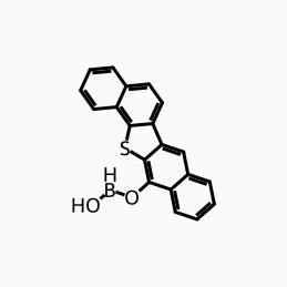 OBOc1c2ccccc2cc2c1sc1c3ccccc3ccc21